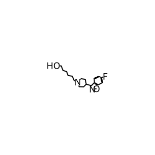 OCCCCCCN1CCC(c2noc3cc(F)ccc23)CC1